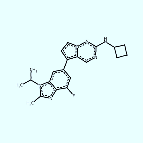 Cc1nc2c(F)cc(-c3ccn4nc(NC5CCC5)ncc34)cc2n1C(C)C